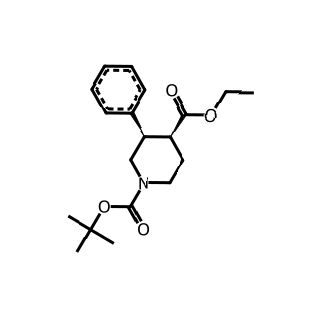 CCOC(=O)[C@H]1CCN(C(=O)OC(C)(C)C)C[C@H]1c1ccccc1